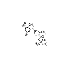 Cc1c(CN2CCN(C(=O)OC(C)(C)C)C(C)C2)cc(Br)cc1[N+](=O)[O-]